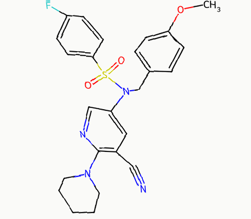 COc1ccc(CN(c2cnc(N3CCCCC3)c(C#N)c2)S(=O)(=O)c2ccc(F)cc2)cc1